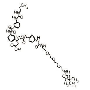 CCCNC(=O)Nc1cccc(S(=O)(=O)Nc2cccc([C@@H](CC(=O)O)NC(=O)Nc3ccc(NC(=O)NCCOCCOCCOCCNC(=O)OC(C)(C)C)cc3)c2)c1